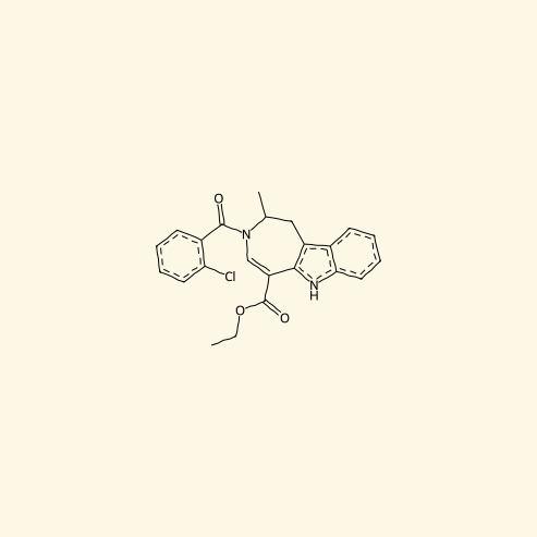 CCOC(=O)C1=CN(C(=O)c2ccccc2Cl)C(C)Cc2c1[nH]c1ccccc21